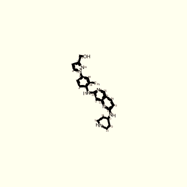 OCc1ccn(-c2ccc(Nc3cc4nc(NC5CCNCC5)ccc4cn3)c(F)c2)n1